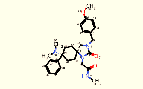 CNC(=O)CN1C(=O)N(Cc2ccc(OC)cc2)C[C@]12CC[C@@](c1ccccc1)(N(C)C)CC2